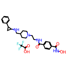 O=C(NO)c1ccc(C(=O)NCCN2CCC(CNC3CC3c3ccccc3)CC2)cc1.O=C(O)C(F)(F)F